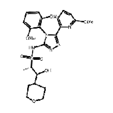 COc1cccc(-c2nnc(NS(=O)(=O)[C@@H](C)C(O)C3CCOCC3)n2-c2c(OC)cccc2OC)n1